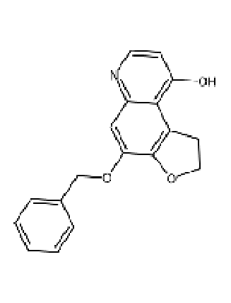 Oc1ccnc2cc(OCc3ccccc3)c3c(c12)CCO3